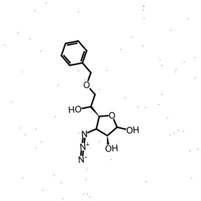 [N-]=[N+]=NC1[C@H](O)C(O)O[C@@H]1C(O)COCc1ccccc1